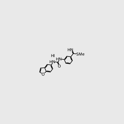 CSC(=N)c1cccc(NC(=O)Nc2ccc3occc3c2)c1.I